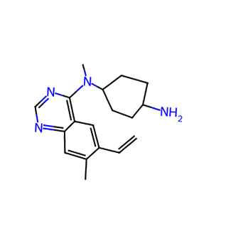 C=Cc1cc2c(N(C)C3CCC(N)CC3)ncnc2cc1C